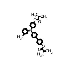 C=C(C)C(=O)Oc1ccc(-c2ccc(N(c3ccc(OC(=O)C(=C)C)cc3)c3cccc(C)c3)cc2)cc1